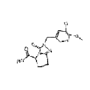 COc1ncc(Cn2nc3n(c2=O)C(C(=O)O)CCC3)cc1Cl